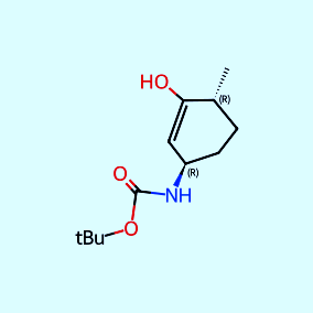 C[C@@H]1CC[C@@H](NC(=O)OC(C)(C)C)C=C1O